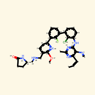 C=Nc1c(/C=C\C)nc(C)nc1Nc1cccc(-c2cccc(-c3ccc(CNC[C@@H]4CCC(=O)N4)c(OC)n3)c2F)c1Cl